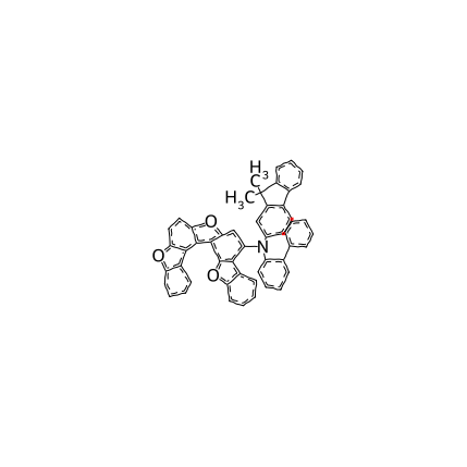 CC1(C)c2ccccc2-c2ccc(N(c3ccccc3-c3ccccc3)c3cc4oc5ccc6oc7ccccc7c6c5c4c4oc5ccccc5c34)cc21